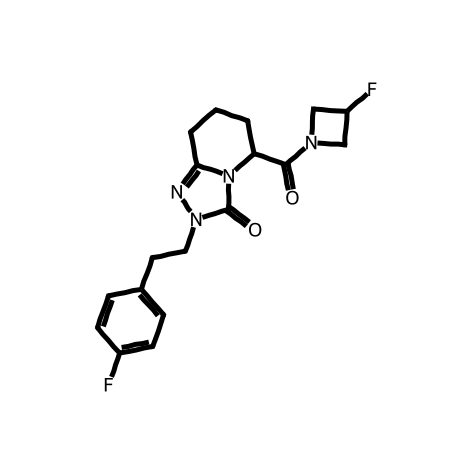 O=C(C1CCCc2nn(CCc3ccc(F)cc3)c(=O)n21)N1CC(F)C1